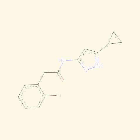 O=C(Cc1ccccc1Br)Nc1cc(C2CC2)[nH]n1